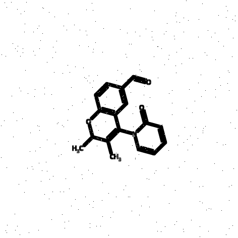 CC1=C(n2ccccc2=O)c2cc(C=O)ccc2OC1C